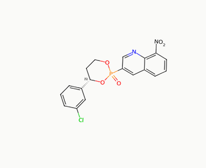 O=[N+]([O-])c1cccc2cc(P3(=O)OCC[C@@H](c4cccc(Cl)c4)O3)cnc12